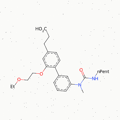 CCCCCNC(=O)N(C)c1cccc(-c2ccc(CCC(=O)O)cc2OCCOCC)c1